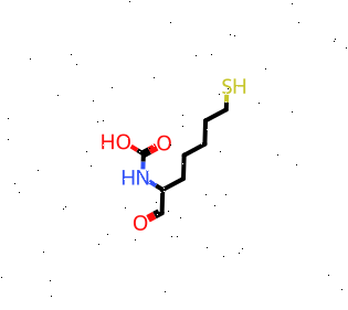 O=CC(CCCCCS)NC(=O)O